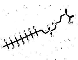 C=C(CCNCS(=O)(=O)CCC(F)(F)C(F)(F)C(F)(F)C(F)(F)C(F)(F)C(F)(F)C(F)(F)F)C(=O)O